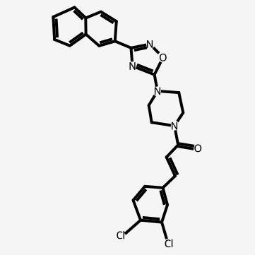 O=C(/C=C/c1ccc(Cl)c(Cl)c1)N1CCN(c2nc(-c3ccc4ccccc4c3)no2)CC1